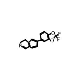 FC1(F)Oc2ccc(-c3ccc4c(c3)CCN=C4)cc2O1